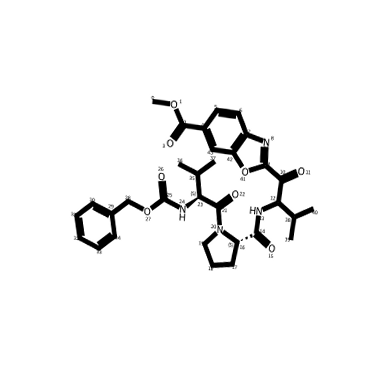 COC(=O)c1ccc2nc(C(=O)C(NC(=O)[C@@H]3CCCN3C(=O)[C@@H](NC(=O)OCc3ccccc3)C(C)C)C(C)C)oc2c1